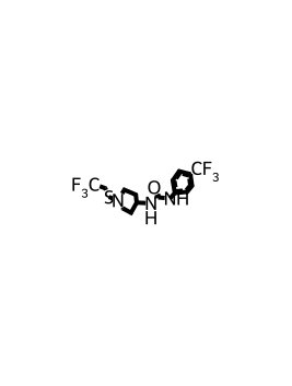 O=C(Nc1ccc(C(F)(F)F)cc1)NC1CCN(SCC(F)(F)F)CC1